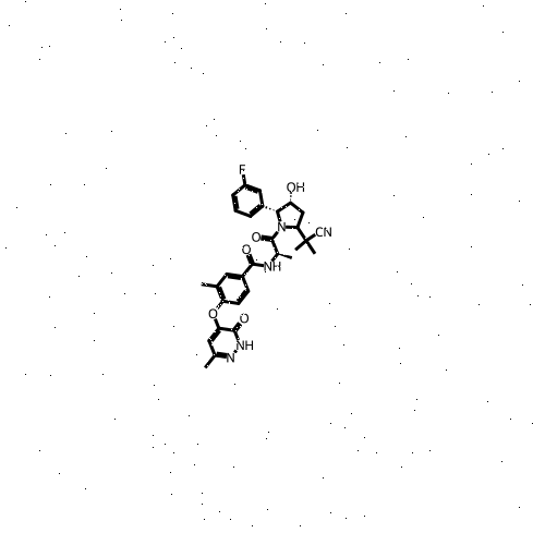 Cc1cc(Oc2ccc(C(=O)N[C@H](C)C(=O)N3C(C(C)(C)C#N)C[C@@H](O)[C@H]3c3cccc(F)c3)cc2C)c(=O)[nH]n1